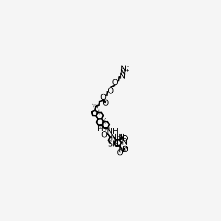 C[C@H](CCC(=O)OCCOCCOCCN=[N+]=[N-])C1CCC2C3CC[C@@H]4C[C@H](NC(=O)C(CS)Nc5ccc([N+](=O)[O-])c6nonc56)CC[C@]4(C)C3CC[C@@]21C